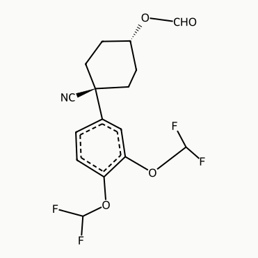 N#C[C@]1(c2ccc(OC(F)F)c(OC(F)F)c2)CC[C@@H](OC=O)CC1